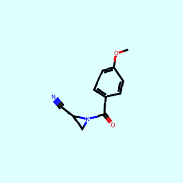 COc1ccc(C(=O)N2CC2C#N)cc1